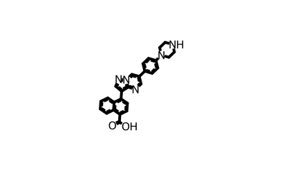 O=C(O)c1ccc(-c2cnn3cc(-c4ccc(N5CCNCC5)cc4)cnc23)c2ccccc12